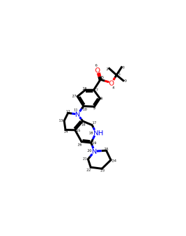 CC(C)(C)OC(=O)c1ccc(N2CCCC3=C2CNC(N2CCCCC2)=C3)cc1